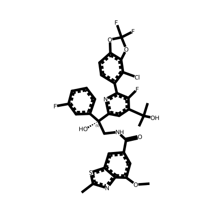 COc1cc(C(=O)NC[C@@](O)(c2cccc(F)c2)c2cc(C(C)(C)O)c(F)c(-c3ccc4c(c3Cl)OC(F)(F)O4)n2)cc2sc(C)nc12